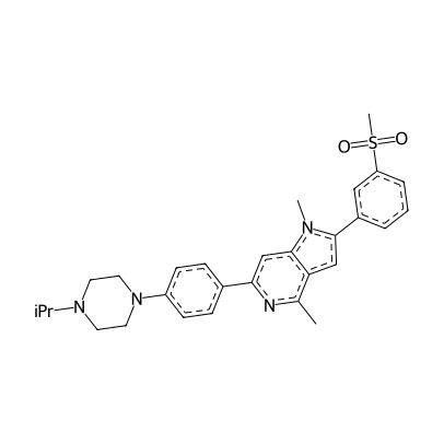 Cc1nc(-c2ccc(N3CCN(C(C)C)CC3)cc2)cc2c1cc(-c1cccc(S(C)(=O)=O)c1)n2C